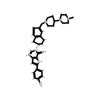 CN1CCN(C2CCN(Cc3ccc4c(c3)CC[C@H](n3cnc5cc(-c6ccc(Cl)cc6)sc5c3=O)C4)CC2)CC1